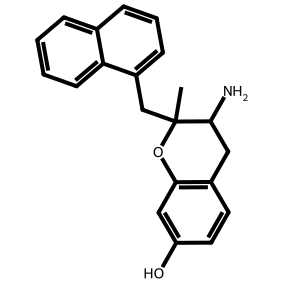 CC1(Cc2cccc3ccccc23)Oc2cc(O)ccc2CC1N